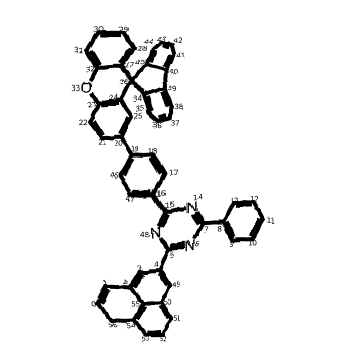 C1=Cc2cc(-c3nc(-c4ccccc4)nc(-c4ccc(-c5ccc6c(c5)C5(c7ccccc7O6)c6ccccc6-c6ccccc65)cc4)n3)cc3cccc(c23)C1